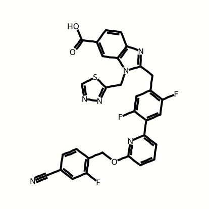 N#Cc1ccc(COc2cccc(-c3cc(F)c(Cc4nc5ccc(C(=O)O)cc5n4Cc4nncs4)cc3F)n2)c(F)c1